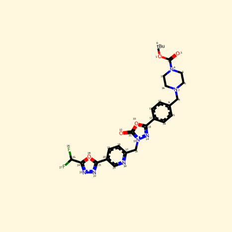 CC(C)(C)OC(=O)N1CCN(Cc2ccc(-c3nn(Cc4ccc(-c5nnc(C(F)F)o5)cn4)c(=O)o3)cc2)CC1